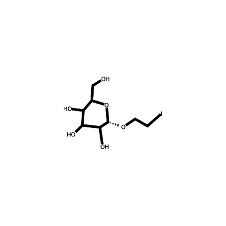 OCC1O[C@H](OCCI)C(O)C(O)C1O